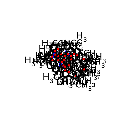 CC(C)c1cc(C(C)C)c(-c2cccc(-c3c(C(C)C)cc(C(C)C)cc3C(C)C)c2N2c3ccc(-c4cc(C(C)(C)C)cc(C(C)(C)C)c4)cc3B3c4cc(-c5cc(C(C)(C)C)cc(C(C)(C)C)c5)ccc4N(c4c(-c5c(C(C)C)cc(C(C)C)cc5C(C)C)cccc4-c4c(C(C)C)cc(C(C)C)cc4C(C)C)c4cc(-n5c6ccccc6c6cc(C(C)(C)C)ccc65)cc2c43)c(C(C)C)c1